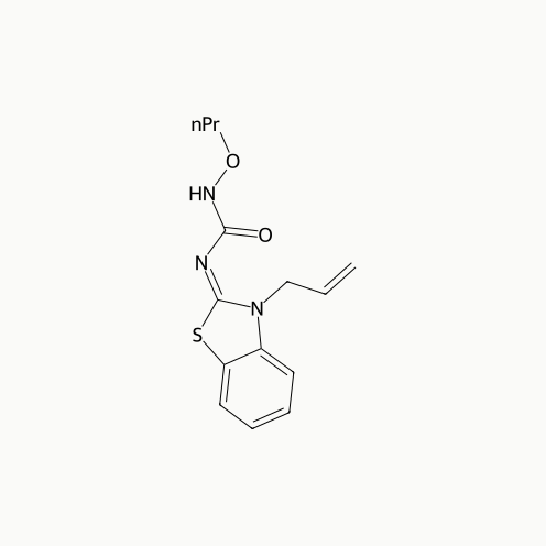 C=CCn1c(=NC(=O)NOCCC)sc2ccccc21